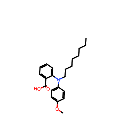 CCCCCCCCN(c1ccc(OC)cc1)c1ccccc1C(=O)O